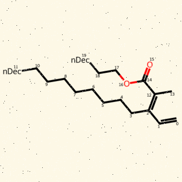 C=CC(CCCCCCCCCCCCCCCCCC)=C(C)C(=O)OCCCCCCCCCCCC